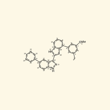 COc1cc(F)cc(-c2cccc3[nH]c(-c4n[nH]c5ccc(-c6cncnc6)cc45)cc23)c1